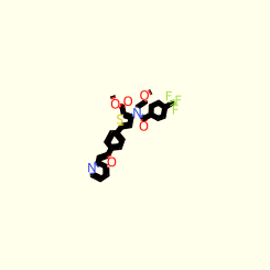 COCCN(C(=O)C1CCC(C(F)(F)F)CC1)c1cc(-c2ccc(-c3cc4ncccc4o3)cc2)sc1C(=O)OC